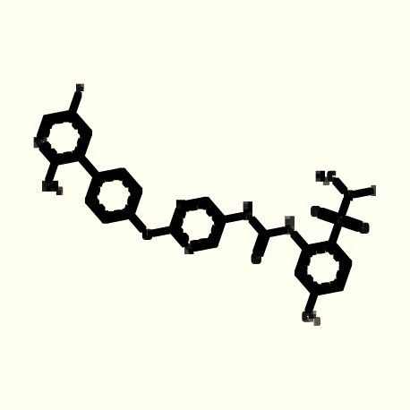 CN(I)S(=O)(=O)c1ccc(C(F)(F)F)cc1NC(=O)Nc1cnc(Oc2ccc(-c3cc(F)cnc3N)cc2)nc1